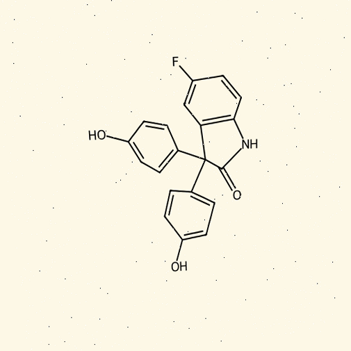 O=C1Nc2ccc(F)cc2C1(c1ccc(O)cc1)c1ccc(O)cc1